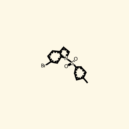 Cc1ccc(S(=O)(=O)n2c[c]c3ccc(Br)cc32)cc1